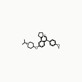 COc1ccc(-c2c[n+]3c(c4cc(OC5CCN(C(C)C)CC5)ccc24)CCC3)cc1